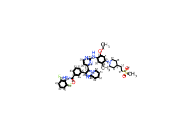 CCOc1cc(N2CCC(CCS(C)(=O)=O)CC2)c(C)cc1Nc1nccc(-c2c(-c3cccc(C(=O)Nc4c(F)cccc4F)c3)nc3ccccn23)n1